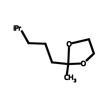 CC(C)CCCC1(C)OCCO1